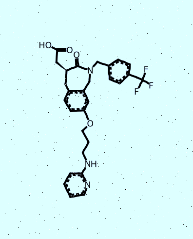 O=C(O)C[C@@H]1Cc2ccc(OCCCNc3ccccn3)cc2CN(Cc2ccc(C(F)(F)F)cc2)C1=O